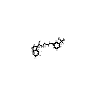 CC(NCCCc1cccc(C(F)(F)F)c1)c1csc2ncccc12